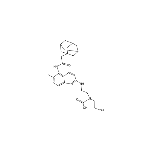 Cc1ccc2nc(NCCN(CCO)C(=O)O)ccc2c1NC(=O)CC12CC3CC(CC(C3)C1)C2